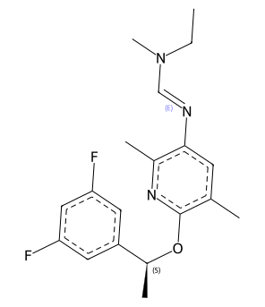 CCN(C)/C=N/c1cc(C)c(O[C@@H](C)c2cc(F)cc(F)c2)nc1C